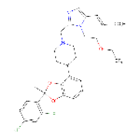 CC1(c2ccc(Cl)cc2F)Oc2cccc(C3CCN(Cc4ncc(C=CC(=O)O)n4CCOCC(F)(F)F)CC3)c2O1